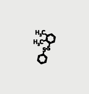 Cc1cccc(SSc2ccccc2)c1C